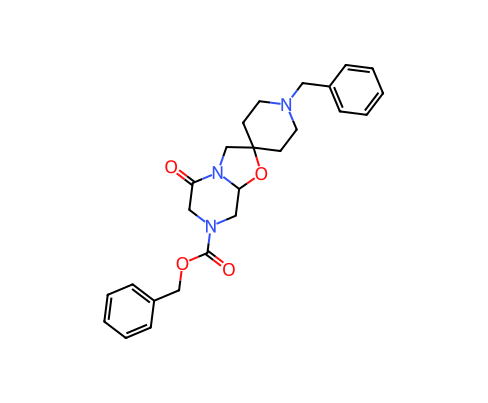 O=C(OCc1ccccc1)N1CC(=O)N2CC3(CCN(Cc4ccccc4)CC3)OC2C1